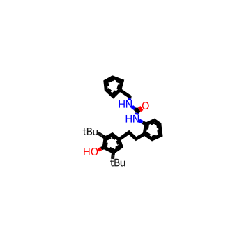 CC(C)(C)c1cc(CCc2ccccc2NC(=O)NCc2ccccc2)cc(C(C)(C)C)c1O